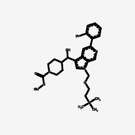 CC(C)c1ccccc1-c1cc2c(C(O)C3CCN(C(=O)OC(C)(C)C)CC3)cn(COCC[Si](C)(C)C)c2cn1